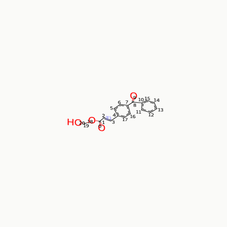 O=C(/C=C/c1ccc(C(=O)c2ccccc2)cc1)OCO